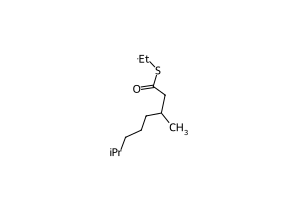 C[CH]SC(=O)CC(C)CCCC(C)C